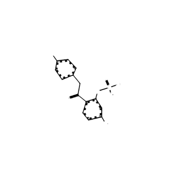 O=C(Cc1ccc(O)cc1)c1ccc(O)cc1SP(=O)(O)O